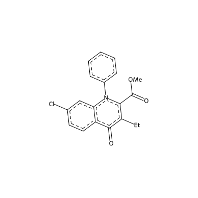 CCc1c(C(=O)OC)n(-c2ccccc2)c2cc(Cl)ccc2c1=O